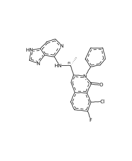 C[C@@H](Nc1nccc2[nH]cnc12)c1cc2ccc(F)c(Cl)c2c(=O)n1-c1ccccc1